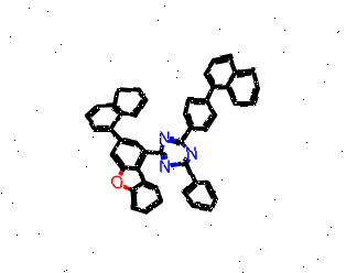 C1=Cc2c(cccc2-c2cc(-c3nc(-c4ccccc4)nc(-c4ccc(-c5cccc6ccccc56)cc4)n3)c3c(c2)oc2ccccc23)CC1